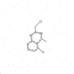 Cc1nc(CCl)nc2cccc(F)c12